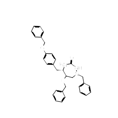 O=C1N[C@H](Cc2ccc(OCc3ccccc3)cc2)C(OCc2ccccc2)CN(Cc2ccccc2)N1